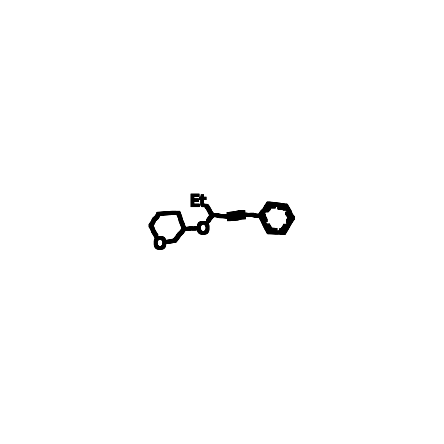 CCC(C#Cc1ccccc1)OC1CCCOC1